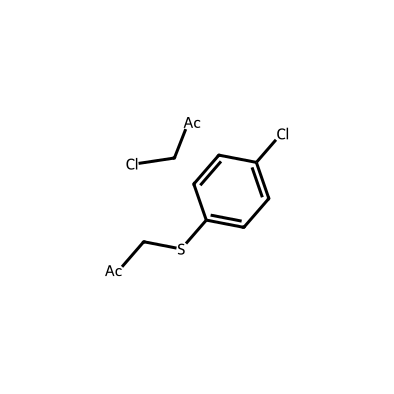 CC(=O)CCl.CC(=O)CSc1ccc(Cl)cc1